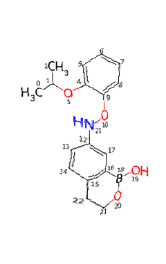 CC(C)Oc1ccccc1ONc1ccc2c(c1)B(O)OCC2